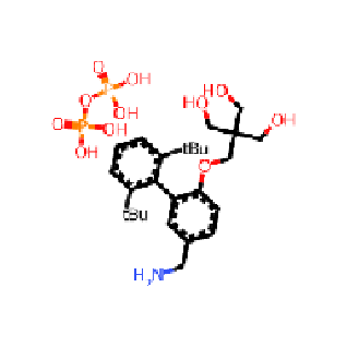 CC(C)(C)c1cccc(C(C)(C)C)c1-c1cc(CN)ccc1OCC(CO)(CO)CO.O=P(O)(O)OP(=O)(O)O